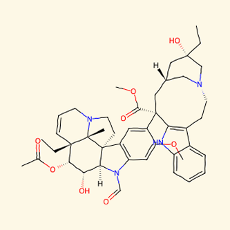 CC[C@]1(O)C[C@@H]2C[N@@](CCc3c([nH]c4ccccc34)[C@@](C(=O)OC)(c3cc4c(cc3OC)N(C=O)[C@H]3[C@H](O)[C@H](OC(C)=O)[C@]5(CC)C=CCN6CC[C@]43[C@@]65C)C2)C1